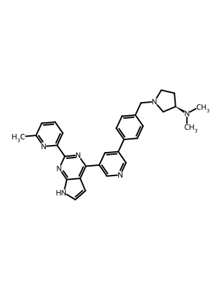 Cc1cccc(-c2nc(-c3cncc(-c4ccc(CN5CC[C@@H](N(C)C)C5)cc4)c3)c3cc[nH]c3n2)n1